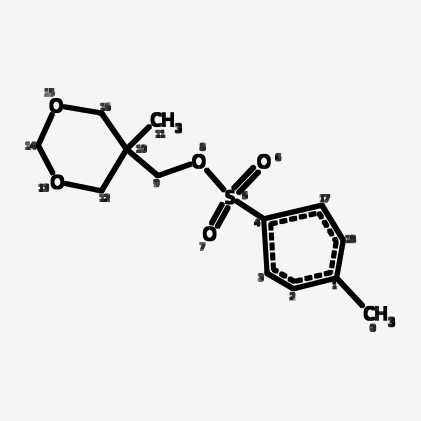 Cc1ccc(S(=O)(=O)OCC2(C)COCOC2)cc1